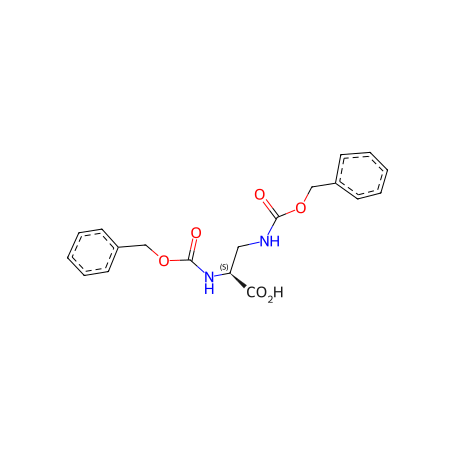 O=C(NC[C@H](NC(=O)OCc1ccccc1)C(=O)O)OCc1ccccc1